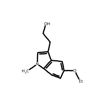 CCOc1ccc2c(c1)c(CCO)cn2C